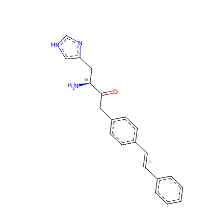 N[C@@H](Cc1c[nH]cn1)C(=O)Cc1ccc(/C=C/c2ccccc2)cc1